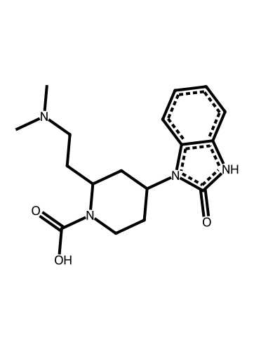 CN(C)CCC1CC(n2c(=O)[nH]c3ccccc32)CCN1C(=O)O